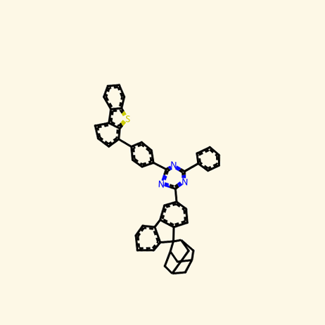 c1ccc(-c2nc(-c3ccc(-c4cccc5c4sc4ccccc45)cc3)nc(-c3ccc4c(c3)-c3ccccc3C43C4CC5CC(C4)CC3C5)n2)cc1